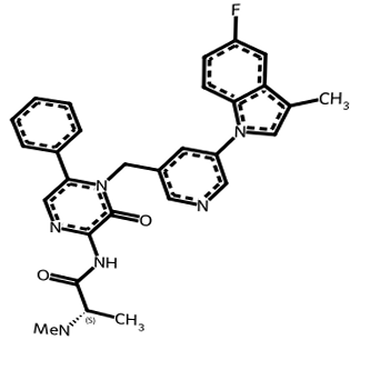 CN[C@@H](C)C(=O)Nc1ncc(-c2ccccc2)n(Cc2cncc(-n3cc(C)c4cc(F)ccc43)c2)c1=O